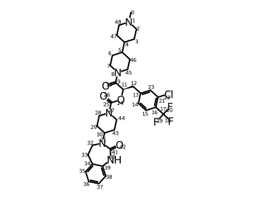 CN1CCC(C2CCN(C(=O)[C@@H](Cc3ccc(C(F)(F)F)c(Cl)c3)OC(=O)N3CCC(N4CCc5ccccc5NC4=O)CC3)CC2)CC1